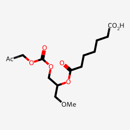 COCC(COC(=O)OCC(C)=O)OC(=O)CCCCCC(=O)O